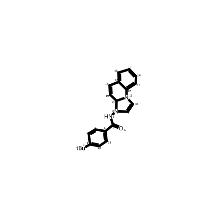 CC(C)(C)c1ccc(C(=O)NN2C=CN3c4ccccc4C=CC23)cc1